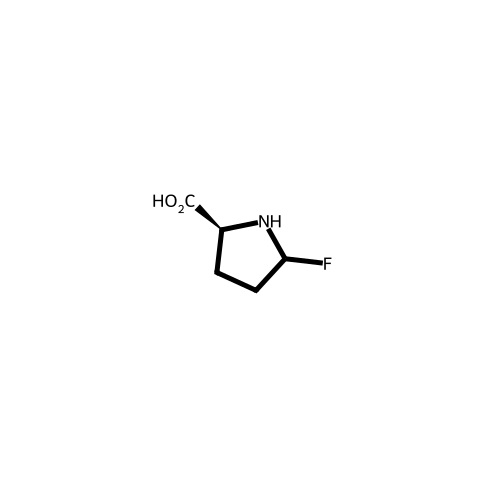 O=C(O)[C@@H]1CCC(F)N1